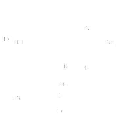 CCOCc1nc2c(N)nc3ccccc3c2n1CC1(O)CCNCC1.Cl.Cl